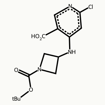 CC(C)(C)OC(=O)N1CC(Nc2cc(Cl)ncc2C(=O)O)C1